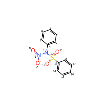 O=[N+]([O-])N(c1ccccc1)S(=O)(=O)c1ccccc1